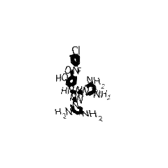 N[C@@H]1C[C@H](N)CN(c2nc(Nc3ccc(C(=O)N(F)c4ccc(Cl)cc4)c(O)c3)nc(N3C[C@H](N)C[C@H](N)C3)n2)C1